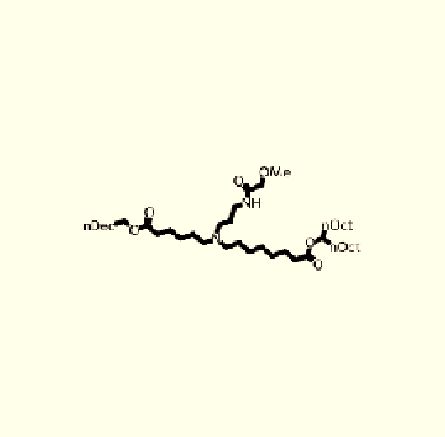 CCCCCCCCCCCOC(=O)CCCCCN(CCCCCCCC(=O)OC(CCCCCCCC)CCCCCCCC)CCCNC(=O)COC